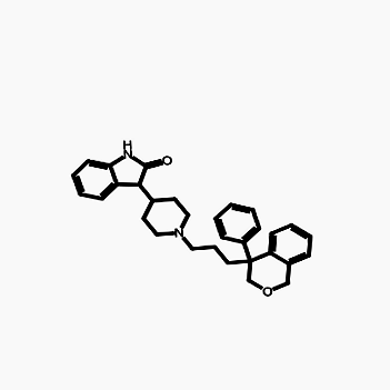 O=C1Nc2ccccc2C1C1CCN(CCCC2(c3ccccc3)COCc3ccccc32)CC1